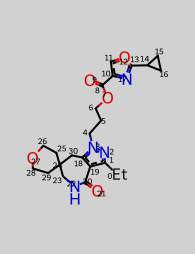 CCc1nn(CCCOC(=O)c2coc(C3CC3)n2)c2c1C(=O)NCC1(CCOCC1)C2